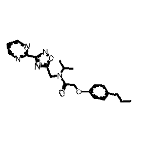 CCCc1ccc(OCC(=O)N(Cc2nc(-c3ncccn3)no2)C(C)C)cc1